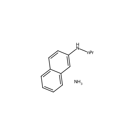 CCCNc1ccc2ccccc2c1.N